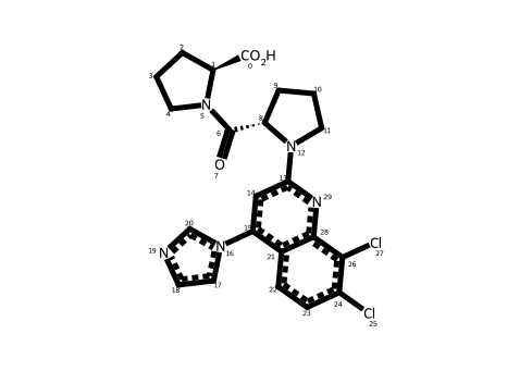 O=C(O)[C@@H]1CCCN1C(=O)[C@@H]1CCCN1c1cc(-n2ccnc2)c2ccc(Cl)c(Cl)c2n1